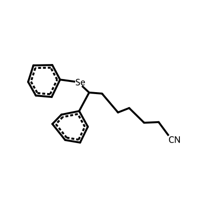 N#CCCCCCC([Se]c1ccccc1)c1ccccc1